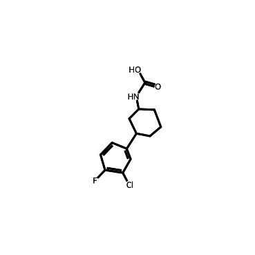 O=C(O)NC1CCCC(c2ccc(F)c(Cl)c2)C1